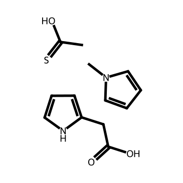 CC(O)=S.Cn1cccc1.O=C(O)Cc1ccc[nH]1